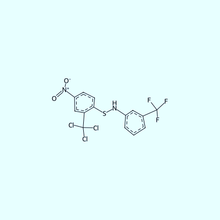 O=[N+]([O-])c1ccc(SNc2cccc(C(F)(F)F)c2)c(C(Cl)(Cl)Cl)c1